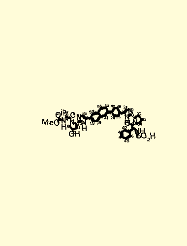 COC(=O)N[C@H](C(=O)N1C[C@@H](O)C[C@H]1c1ncc(-c2ccc3cc(-c4ccc(-c5cnc([C@@H]6CCCN6C(=O)[C@H](NC(=O)O)c6ccccc6)[nH]5)cc4)ccc3c2)[nH]1)C(C)C